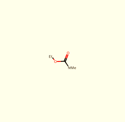 [CH2]NC(=O)OCC